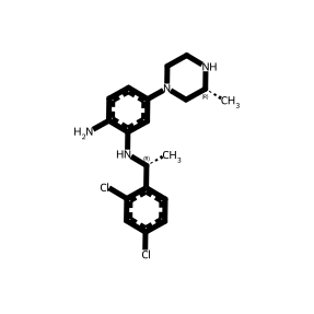 C[C@@H]1CN(c2ccc(N)c(N[C@H](C)c3ccc(Cl)cc3Cl)c2)CCN1